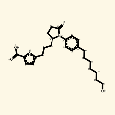 O=C(O)c1ccc(CCC[C@H]2CCC(=O)N2c2ccc(CCCCCCCO)cc2)s1